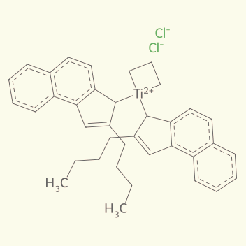 CCCCC1=Cc2c(ccc3ccccc23)[CH]1[Ti+2]1([CH]2C(CCCC)=Cc3c2ccc2ccccc32)[CH2]C[CH2]1.[Cl-].[Cl-]